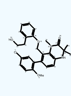 COc1ccc(Cl)cc1-c1ccc2c(c1COc1ccccc1CCO)N(C)C(=O)C(C)(C)N2